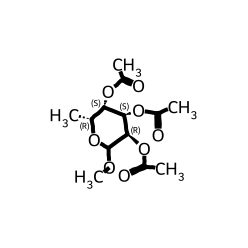 COC1O[C@H](C)[C@H](OC(C)=O)[C@H](OC(C)=O)[C@H]1OC(C)=O